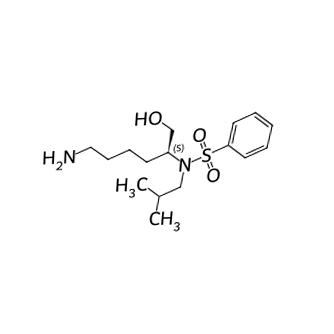 CC(C)CN([C@H](CO)CCCCN)S(=O)(=O)c1ccccc1